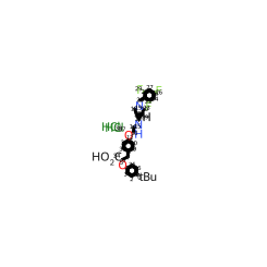 CC(C)(C)c1ccc(O[C@@H](Cc2ccc(OCCN[C@H]3C4CN(Cc5c(F)cc(F)cc5F)C[C@@H]43)cc2)C(=O)O)cc1.Cl.Cl